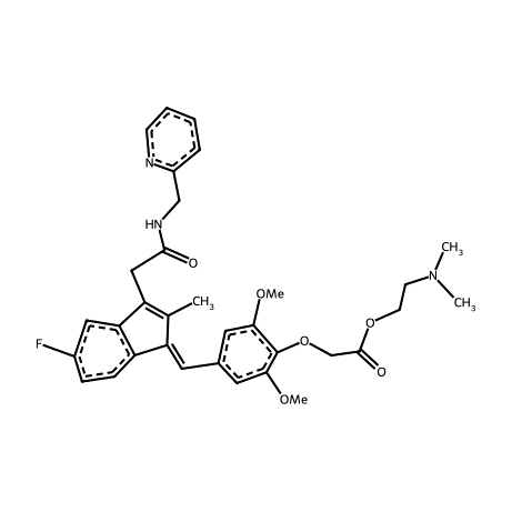 COc1cc(C=C2C(C)=C(CC(=O)NCc3ccccn3)c3cc(F)ccc32)cc(OC)c1OCC(=O)OCCN(C)C